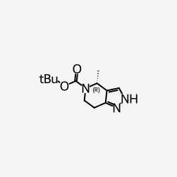 C[C@@H]1c2c[nH]nc2CCN1C(=O)OC(C)(C)C